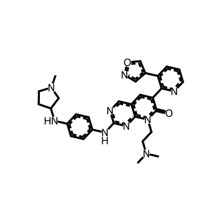 CN(C)CCn1c(=O)c(-c2ncccc2-c2cnoc2)cc2cnc(Nc3ccc(NC4CCN(C)C4)cc3)nc21